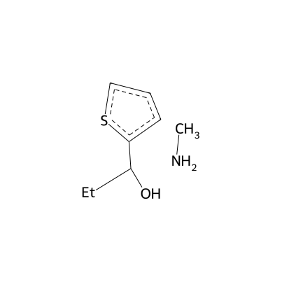 CCC(O)c1cccs1.CN